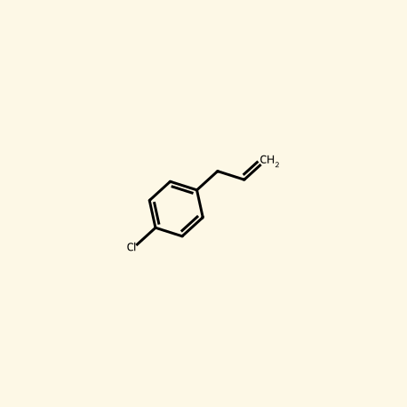 C=CCc1ccc(Cl)cc1